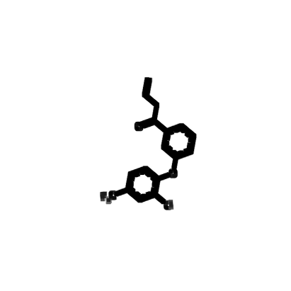 C=CCC(=O)c1cccc(Oc2ccc(C(F)(F)F)cc2Cl)c1